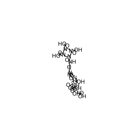 O=C(O)CC[C@H](NC(=O)N[C@@H](CCC(=O)N(CC(=O)O)Cc1cn(CCOCCNC(=O)CN2CCN(CC(=O)O)CCN(CC(=O)O)CCN(CC(=O)O)CC2)nn1)C(=O)O)C(=O)O